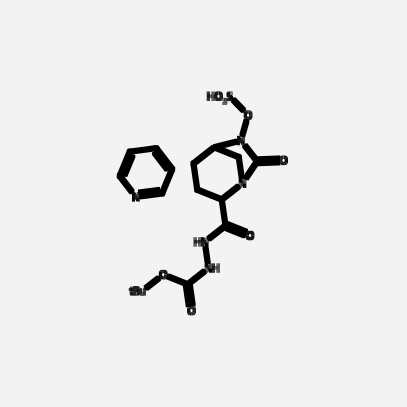 CC(C)(C)OC(=O)NNC(=O)C1CCC2CN1C(=O)N2OS(=O)(=O)O.c1ccncc1